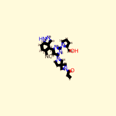 C=CC(=O)N1CC2(CCN(c3nc(N4CCC[C@H]4CO)nc(-c4c(C)ccc5[nH]ncc45)c3C#N)C2)C1